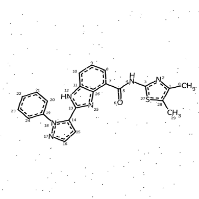 Cc1nc(NC(=O)c2cccc3[nH]c(-c4ccnn4-c4ccccc4)nc23)sc1C